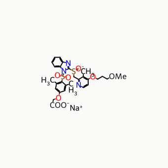 COCCCOc1ccnc(C[S+]([O-])c2nc3ccccc3n2S(=O)(=O)c2c(C)cc(OCC(=O)[O-])cc2C)c1C.[Na+]